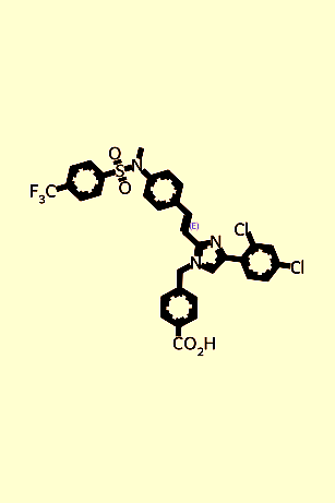 CN(c1ccc(/C=C/c2nc(-c3ccc(Cl)cc3Cl)cn2Cc2ccc(C(=O)O)cc2)cc1)S(=O)(=O)c1ccc(C(F)(F)F)cc1